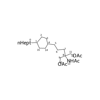 CCCCCCCC1CCC(CCCC(COC(C)=O)(COC(C)=O)NC(C)=O)CC1